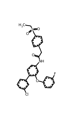 CCS(=O)(=O)c1ccc(CC(=O)Nc2ccc(-c3cccc(Cl)c3)c(Oc3cccc(F)c3)c2)cc1